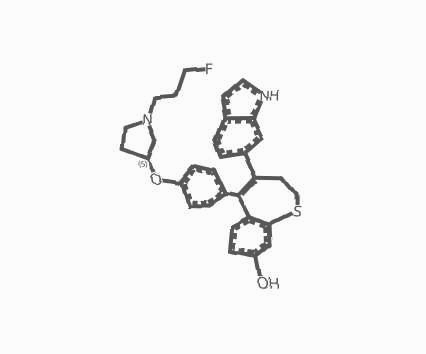 Oc1ccc2c(c1)SCCC(c1ccc3cc[nH]c3c1)=C2c1ccc(O[C@H]2CCN(CCCF)C2)cc1